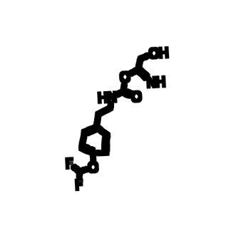 N=C(CO)OC(=O)NCCc1ccc(OC(F)F)cc1